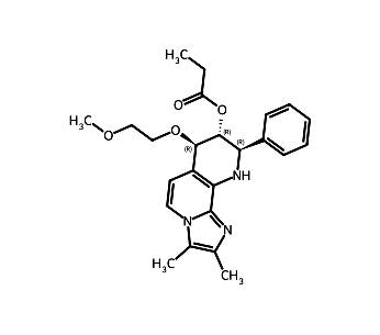 CCC(=O)O[C@@H]1[C@@H](c2ccccc2)Nc2c(ccn3c(C)c(C)nc23)[C@H]1OCCOC